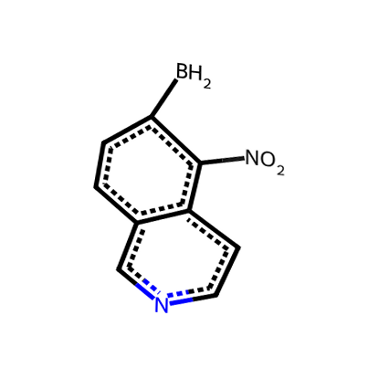 Bc1ccc2cnccc2c1[N+](=O)[O-]